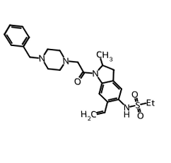 C=Cc1cc2c(cc1NS(=O)(=O)CC)CC(C)N2C(=O)CN1CCN(Cc2ccccc2)CC1